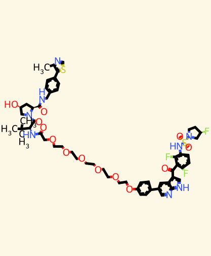 Cc1ncsc1-c1ccc(CNC(=O)[C@@H]2C[C@@H](O)CN2C(=O)[C@@H](NC(=O)COCCOCCOCCOCCOCCOc2ccc(-c3cnc4[nH]cc(C(=O)c5c(F)ccc(NS(=O)(=O)N6CC[C@@H](F)C6)c5F)c4c3)cc2)C(C)(C)C)cc1